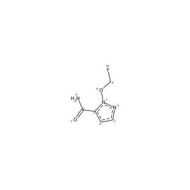 NC(=O)c1ccnn1OCF